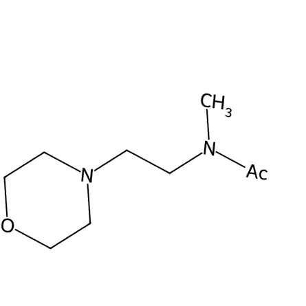 CC(=O)N(C)CCN1CCOCC1